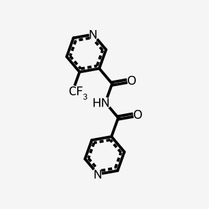 O=C(NC(=O)c1cnccc1C(F)(F)F)c1ccncc1